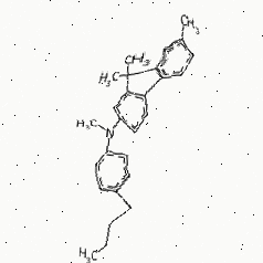 CCCCc1ccc(N(C)c2ccc3c(c2)C(C)(C)c2cc(C)ccc2-3)cc1